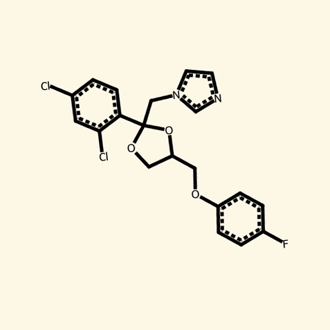 Fc1ccc(OCC2COC(Cn3ccnc3)(c3ccc(Cl)cc3Cl)O2)cc1